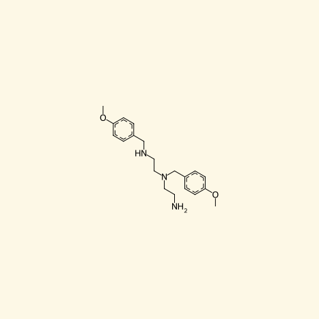 COc1ccc(CNCCN(CCN)Cc2ccc(OC)cc2)cc1